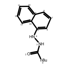 CCCCC(=O)NNc1cccc2ccccc12